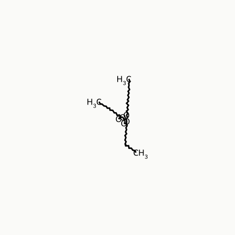 CCCCCC/C=C\CCCCCCCCCC(=O)O[C@H](COCCCCCCCCCCCCCCCCCC)COC(=O)CCCCCCCCCCCCC